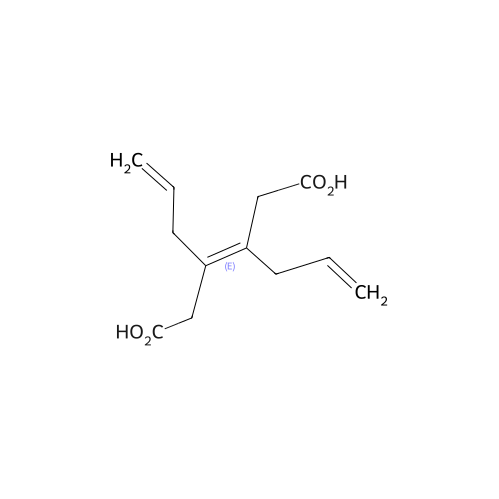 C=CC/C(CC(=O)O)=C(/CC=C)CC(=O)O